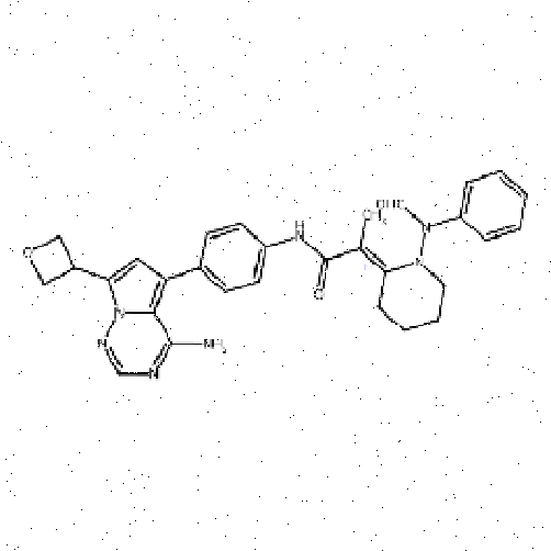 C/C(C(=O)Nc1ccc(-c2cc(C3COC3)n3ncnc(N)c23)cc1)=C1/CCCCN1N(C=O)c1ccccc1